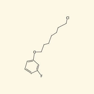 Fc1[c]ccc(OCCCCCCCCl)c1